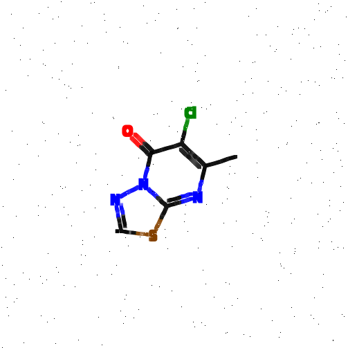 Cc1nc2s[c]nn2c(=O)c1Cl